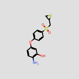 Nc1ccc(Oc2ccc(S(=O)(=O)CC3CS3)cc2)cc1O